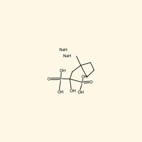 CC1(CC(O)(P(=O)(O)O)P(=O)(O)O)CCC1.[NaH].[NaH]